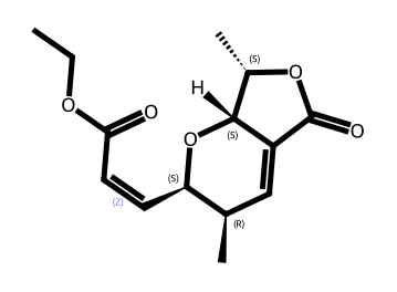 CCOC(=O)/C=C\[C@H]1O[C@H]2C(=C[C@H]1C)C(=O)O[C@H]2C